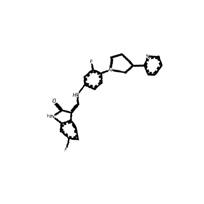 O=C1Nc2cc(F)ccc2C1=CNc1ccc(N2CCC(c3ccccn3)C2)c(F)c1